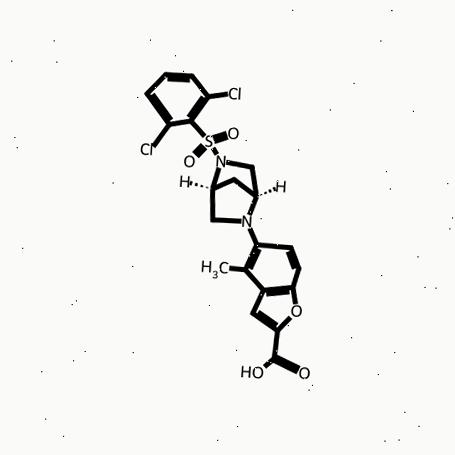 Cc1c(N2C[C@@H]3C[C@H]2CN3S(=O)(=O)c2c(Cl)cccc2Cl)ccc2oc(C(=O)O)cc12